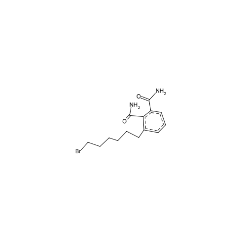 NC(=O)c1cccc(CCCCCCBr)c1C(N)=O